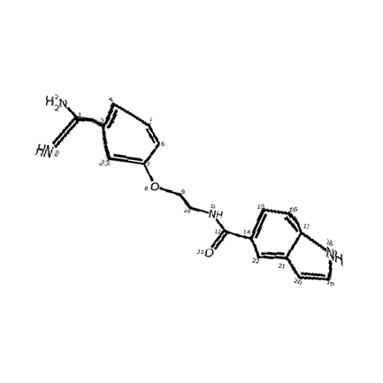 N=C(N)c1cccc(OCCNC(=O)c2ccc3[nH]ccc3c2)c1